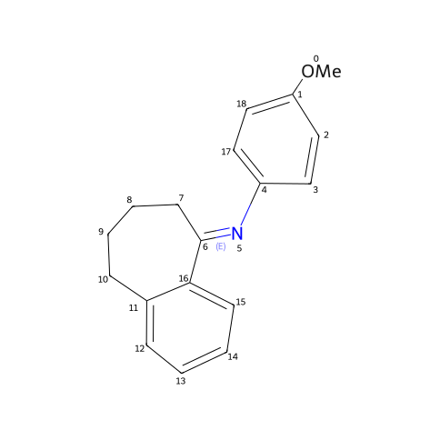 COc1ccc(/N=C2\CCCCc3ccccc32)cc1